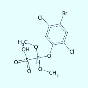 CO[PH](OC)(Oc1cc(Cl)c(Br)cc1Cl)S(=O)(=O)O